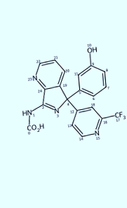 O=C(O)NC1=NC(c2cccc(O)c2)(c2ccnc(C(F)(F)F)c2)c2cccnc21